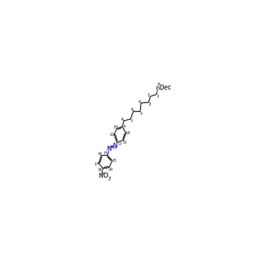 CCCCCCCCCCCCCCCCCCc1ccc(/N=N/c2ccc([N+](=O)[O-])cc2)cc1